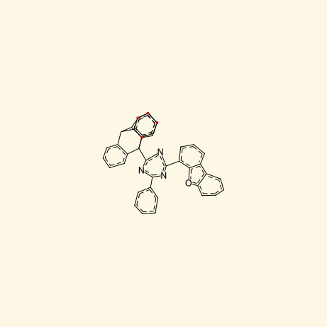 c1ccc(-c2nc(-c3cccc4c3oc3ccccc34)nc(C34c5ccccc5C(c5ccccc53)c3ccccc34)n2)cc1